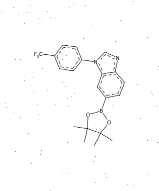 CC1(C)OB(c2ccc3ncn(-c4ccc(C(F)(F)F)cc4)c3c2)OC1(C)C